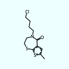 Cc1cc2c(s1)SCCN(CCCCCl)C2=O